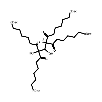 CCCCCCCCCCCCCCCC(=O)C(O)(C(=O)CCCCCCCCCCCCCCC)C(O)C(O)(C(=O)CCCCCCCCCCCCCCC)C(=O)CCCCCCCCCCCCCCC